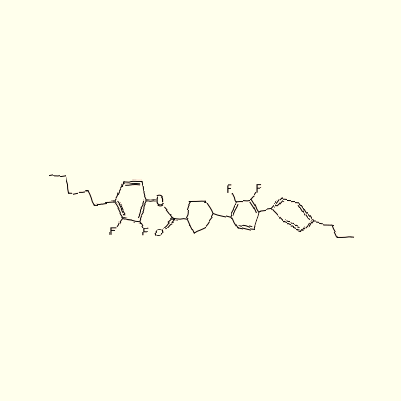 CCCCCc1ccc(OC(=O)C2CCC(c3ccc(-c4ccc(CCC)cc4)c(F)c3F)CC2)c(F)c1F